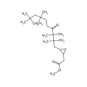 COC(=O)CC1CC1CC(C)(C)C(C)(C)C(=O)CCC(C)(C)CC(C)(C)C